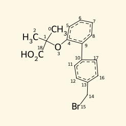 CC(C)(Oc1ccccc1-c1ccc(CBr)cc1)C(=O)O